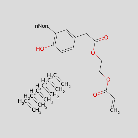 C=C.C=C.C=C.C=C.C=C.C=C.C=CC(=O)OCCOC(=O)Cc1ccc(O)c(CCCCCCCCC)c1